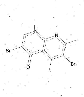 Cc1nc2[nH]cc(Br)c(=O)c2c(C)c1Br